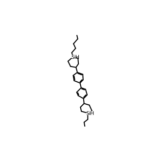 CCCCC[SiH]1CCC(c2ccc(-c3ccc(C4CC[SiH](CCC)CC4)cc3)cc2)CC1